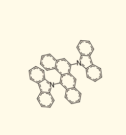 c1ccc2c(-n3c4ccccc4c4ccccc43)c3c(cc2c1)c(-n1c2ccccc2c2ccccc21)cc1ccccc13